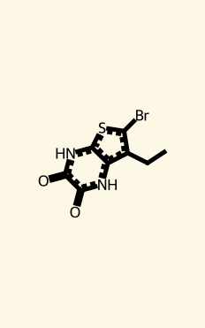 CCc1c(Br)sc2[nH]c(=O)c(=O)[nH]c12